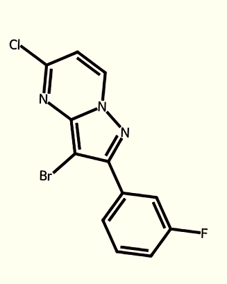 Fc1cccc(-c2nn3ccc(Cl)nc3c2Br)c1